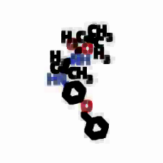 CC(C)(CNC(=O)OC(C)(C)C)Nc1ccc(OCc2ccccc2)cc1